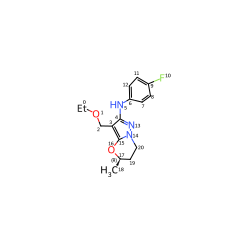 CCOCc1c(Nc2ccc(F)cc2)nn2c1O[C@H](C)CC2